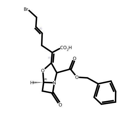 O=C(O)/C(C/C=C/CBr)=C1/O[C@@H]2CC(=O)N2C1C(=O)OCc1ccccc1